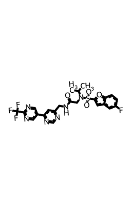 CC(C)N(CC(=O)NCc1cc(-c2cnc(C(F)(F)F)nc2)ncn1)S(=O)(=O)c1cc2cc(F)ccc2o1